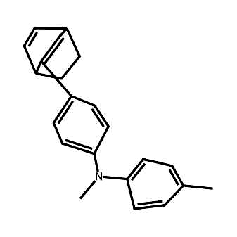 Cc1ccc(N(C)c2ccc(C3=CC4C=CC3CC4)cc2)cc1